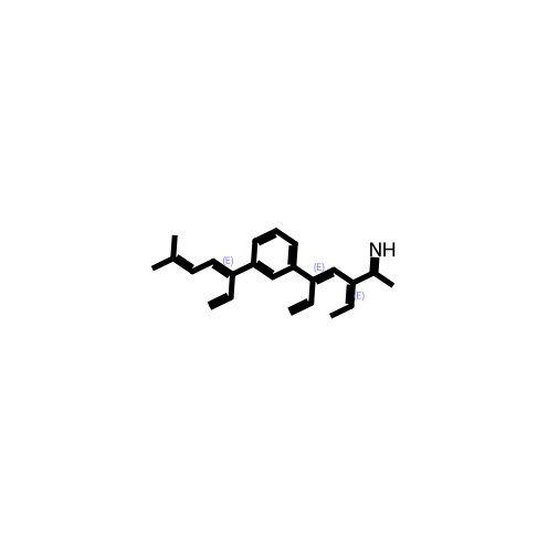 C=C/C(=C\C=C(C)C)c1cccc(/C(C=C)=C/C(=C\C)C(C)=N)c1